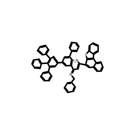 N/C(=C\C(=N/Cc1ccccc1)c1cc(-c2ccccc2)cc(-c2cc(-c3ccccc3)c(-c3ccccc3)c(-c3ccccc3)c2)c1)c1cc2ccccc2c2c1sc1ccccc12